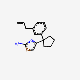 C=CCc1cccc(C2(c3csc(N)n3)CCCC2)c1